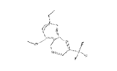 CCc1cc(OC)c2ncc(C(F)(F)F)cc2c1